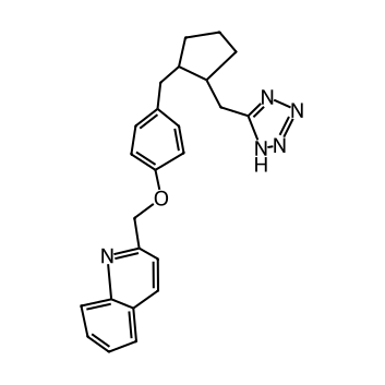 c1ccc2nc(COc3ccc(CC4CCCC4Cc4nnn[nH]4)cc3)ccc2c1